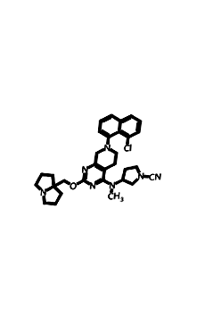 CN(c1nc(OCC23CCCN2CCC3)nc2c1CCN(c1cccc3cccc(Cl)c13)C2)C1CCN(C#N)C1